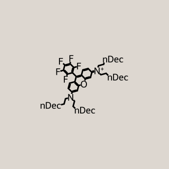 CCCCCCCCCCCCN(CCCCCCCCCCCC)c1ccc2c(-c3c(F)c(F)c(F)c(F)c3F)c3ccc(=[N+](CCCCCCCCCCCC)CCCCCCCCCCCC)cc-3oc2c1